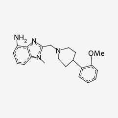 COc1ccccc1C1CCN(Cc2nc3c(N)cccc3n2C)CC1